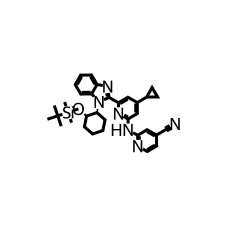 CC(C)(C)[Si](C)(C)O[C@@H]1CCCC[C@H]1n1c(-c2cc(C3CC3)cc(Nc3cc(C#N)ccn3)n2)nc2ccccc21